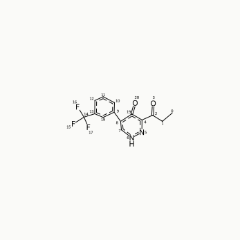 CCC(=O)c1n[nH]cc(-c2cccc(C(F)(F)F)c2)c1=O